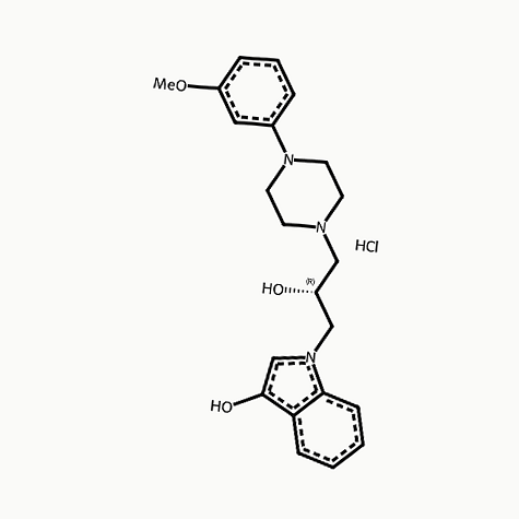 COc1cccc(N2CCN(C[C@@H](O)Cn3cc(O)c4ccccc43)CC2)c1.Cl